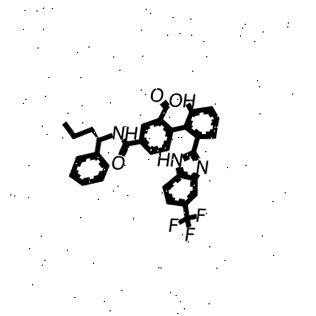 CCC[C@@H](NC(=O)c1ccc(-c2c(C)cccc2-c2nc3cc(C(F)(F)F)ccc3[nH]2)c(C(=O)O)c1)c1ccccc1